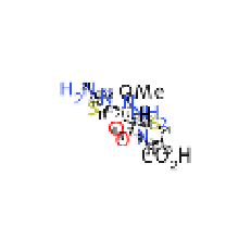 CON=C(C(=O)C1(N)C(=O)N2C(C(=O)O)=C(C)CS[C@H]21)c1csc(N)n1